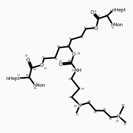 CCCCCCCCCC(CCCCCCC)C(=O)OCCCC(CCCOC(=O)C(CCCCCCC)CCCCCCCCC)OC(=O)NCCCN(C)CCCCN(C)C